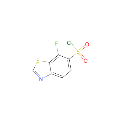 O=S(=O)(Cl)c1ccc2ncsc2c1F